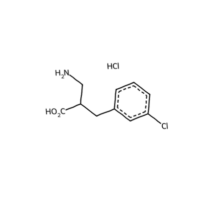 Cl.NCC(Cc1cccc(Cl)c1)C(=O)O